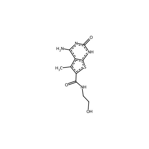 Cc1c(C(=O)NCCO)sc2[nH]c(=O)nc(N)c12